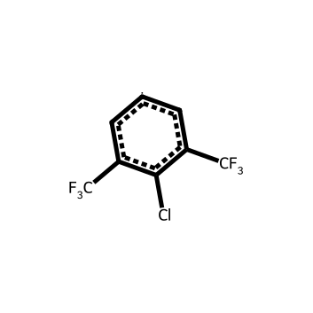 FC(F)(F)c1c[c]cc(C(F)(F)F)c1Cl